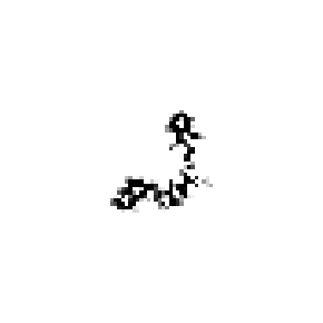 CC(=NOCCN1C(=O)c2ccccc2C1=O)c1cnc2nnn(Cc3ccc4ncccc4c3)c2n1